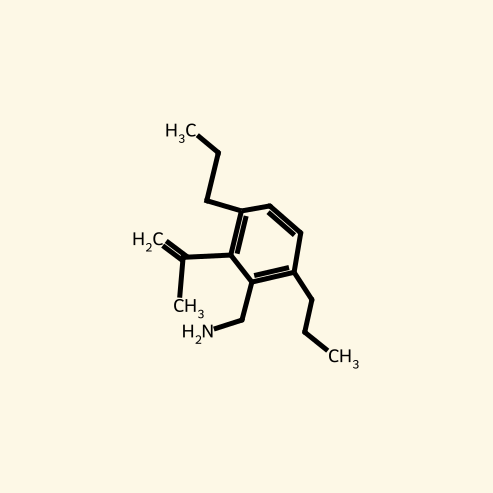 C=C(C)c1c(CCC)ccc(CCC)c1CN